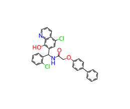 O=C(COc1ccc(-c2ccccc2)cc1)NC(c1ccccc1Cl)c1cc(Cl)c2cccnc2c1O